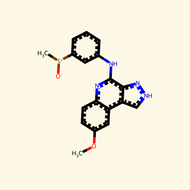 COc1ccc2nc(Nc3cccc([S+](C)[O-])c3)c3n[nH]cc3c2c1